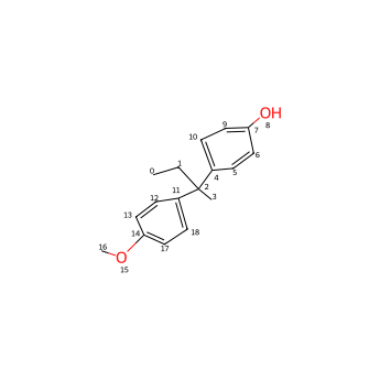 CCC(C)(c1ccc(O)cc1)c1ccc(OC)cc1